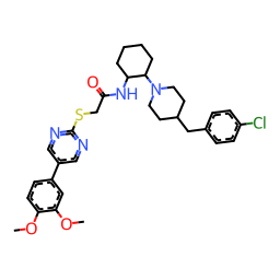 COc1ccc(-c2cnc(SCC(=O)NC3CCCCC3N3CCC(Cc4ccc(Cl)cc4)CC3)nc2)cc1OC